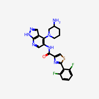 NC1CCCN(c2c(NC(=O)c3csc(-c4c(F)cccc4F)n3)cnc3[nH]ncc23)C1